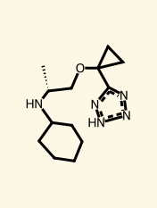 C[C@H](COC1(c2nn[nH]n2)CC1)NC1CCCCC1